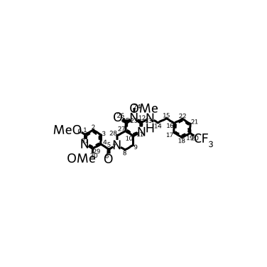 COc1ccc(C(=O)N2CCc3nc(NCCc4ccc(C(F)(F)F)cc4)n(OC)c(=O)c3C2)c(OC)n1